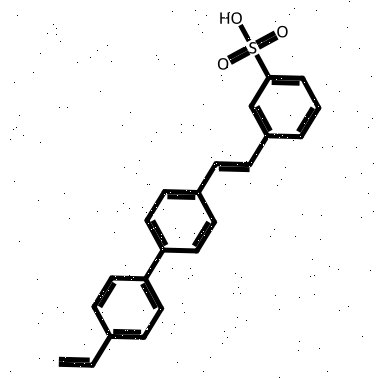 C=Cc1ccc(-c2ccc(C=Cc3cccc(S(=O)(=O)O)c3)cc2)cc1